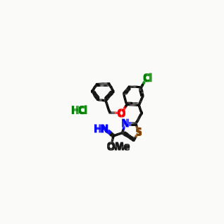 COC(=N)c1csc(Cc2cc(Cl)ccc2OCc2ccccc2)n1.Cl